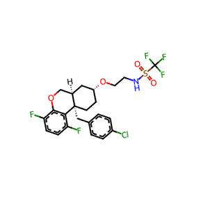 O=S(=O)(NCCO[C@@H]1CC[C@@]2(Cc3ccc(Cl)cc3)c3c(F)ccc(F)c3OC[C@H]2C1)C(F)(F)F